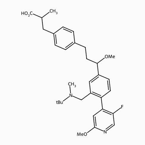 COc1cc(-c2ccc(C(CCc3ccc(CC(C)C(=O)O)cc3)OC)cc2CN(C)C(C)(C)C)c(F)cn1